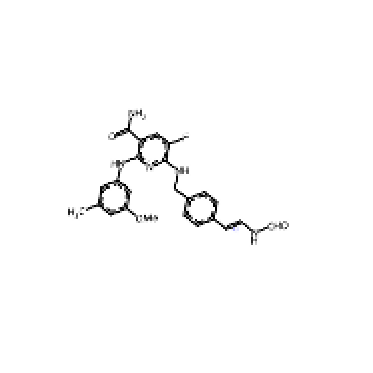 COc1cc(C)cc(Nc2nc(NCc3ccc(/C=C/NC=O)cc3)c(F)cc2C(N)=O)c1